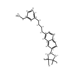 CC1(C)OB(c2ccc3ncc(CCCCc4cncc(CO)c4)cc3c2)OC1(C)C